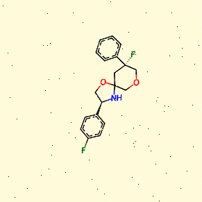 Fc1ccc([C@H]2COC3(COC[C@](F)(c4ccccc4)C3)N2)cc1